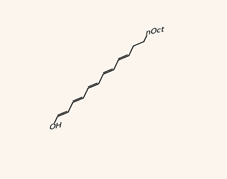 CCCCCCCCCC/C=C/C=C/C=C/C=C/C=C/O